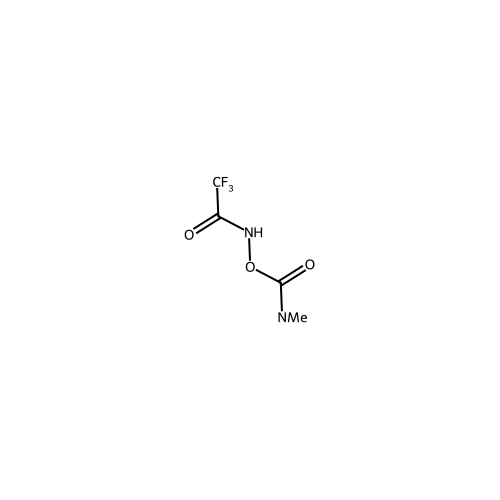 CNC(=O)ONC(=O)C(F)(F)F